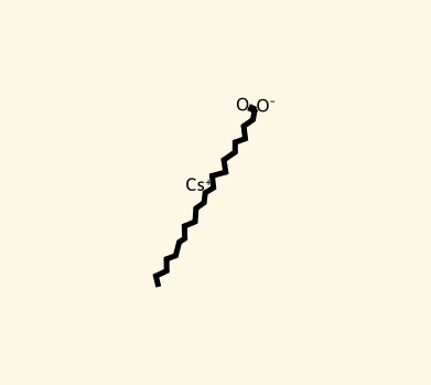 CCCCCCCCCCCCCCCCCCCCCC(=O)[O-].[Cs+]